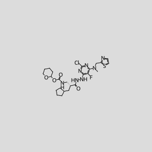 CN(Cc1nccs1)c1nc(Cl)nc(NNC(=O)[C@@H](CNC(=O)OC2CCCCO2)CC2CCCC2)c1F